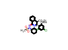 CCOC(=O)[C@@H]1c2ccccc2C(=O)N([C@@H]2CCCC[C@H]2NS(C)(=O)=O)[C@H]1c1c(Cl)cc(Cl)cc1OC